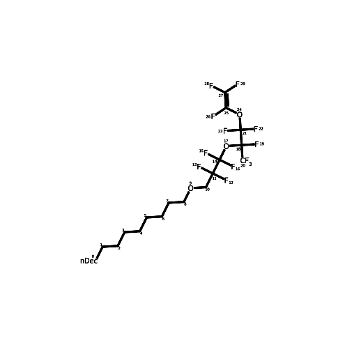 CCCCCCCCCCCCCCCCCCOCC(F)(F)C(F)(F)OC(F)(C(F)(F)F)C(F)(F)OC(F)=C(F)F